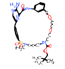 CN1CCCN(C(=O)OCC(C)(C)C)CCOCCOCc2cccc(c2)NC(=O)c2nc(cnc2N)-c2ccc(cc2)S1(=O)=O